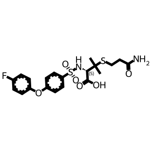 CC(C)(SCCC(N)=O)[C@@H](NS(=O)(=O)c1ccc(Oc2ccc(F)cc2)cc1)C(=O)O